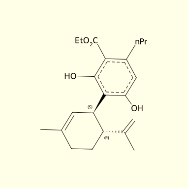 C=C(C)[C@@H]1CCC(C)=C[C@H]1c1c(O)cc(CCC)c(C(=O)OCC)c1O